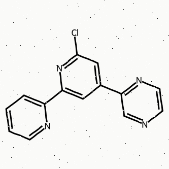 Clc1cc(-c2cnccn2)cc(-c2ccccn2)n1